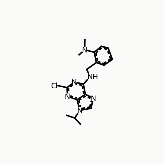 CC(C)n1cnc2c(NCc3ccccc3N(C)C)nc(Cl)nc21